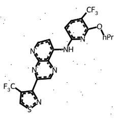 CCCOc1nc(Nc2ccnc3nc(-c4nscc4C(F)(F)F)cnc23)ccc1C(F)(F)F